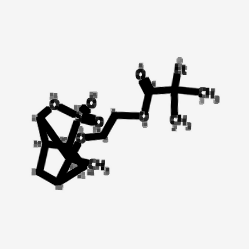 CCC(C)(C)C(=O)OCCOC1(C)C2CC3C1OS(=O)(=O)C3C2